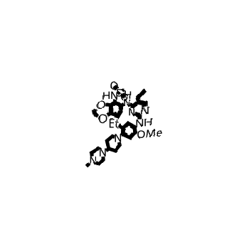 C=Cc1cnc(Nc2cc(CC)c(N3CCC(N4CCN(C)CC4)CC3)cc2OC)nc1Nc1ccc2c(c1NS(C)(=O)=O)OCCO2